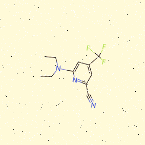 CCN(CC)c1cc(C(F)(F)F)cc(C#N)n1